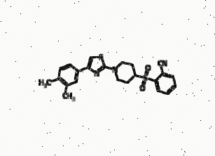 Cc1ccc(-c2csc(N3CCC(S(=O)(=O)c4ccccc4C#N)CC3)n2)cc1C